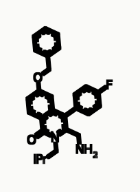 CC(C)Cn1c(CN)c(-c2ccc(F)cc2)c2cc(OCc3ccccc3)ccc2c1=O